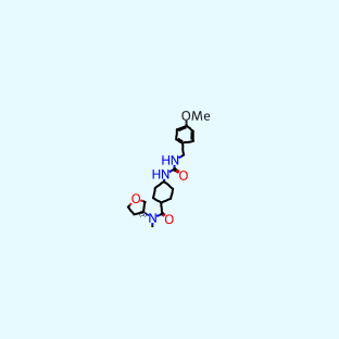 COc1ccc(CNC(=O)NC2CCC(C(=O)N(C)[C@H]3CCOC3)CC2)cc1